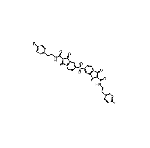 O=C(NCCc1ccc(F)cc1)C1C(=O)c2ccc(S(=O)(=O)c3ccc4c(c3)C(=O)C(C(=O)NCCc3ccc(F)cc3)C4=O)cc2C1=O